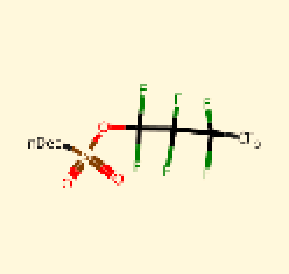 CCCCCCCCCCS(=O)(=O)OC(F)(F)C(F)(F)C(F)(F)C(F)(F)F